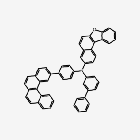 c1ccc(-c2cccc(N(c3ccc(-c4ccc5ccc6ccc7ccccc7c6c5c4)cc3)c3ccc4c(ccc5oc6ccccc6c54)c3)c2)cc1